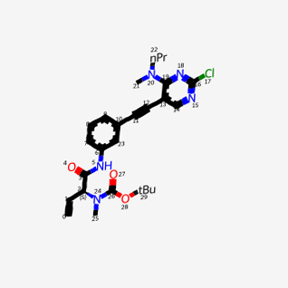 C=C[C@@H](C(=O)Nc1cccc(C#Cc2cnc(Cl)nc2N(C)CCC)c1)N(C)C(=O)OC(C)(C)C